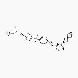 CC(CN)COc1ccc(C(C)(C)c2ccc(OCc3ccnc(N4CC5(COC5)C4)n3)cc2)cc1